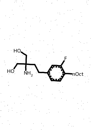 CCCCCCCCc1ccc(CCC(N)(CO)CO)cc1F